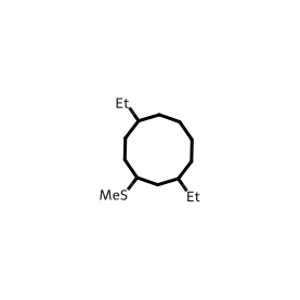 CCC1CCCCC(CC)CC(SC)CC1